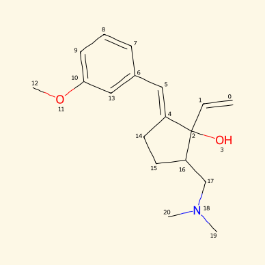 C=CC1(O)/C(=C/c2cccc(OC)c2)CCC1CN(C)C